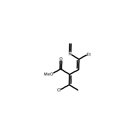 C=N/C(=C\C(C(=O)OC)=C(/C)Cl)CC